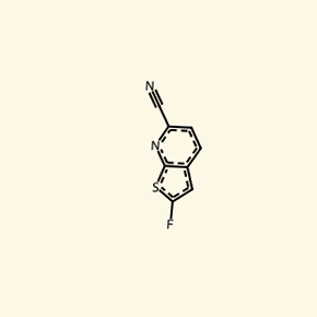 N#Cc1ccc2cc(F)sc2n1